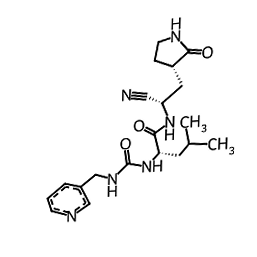 CC(C)C[C@H](NC(=O)NCc1cccnc1)C(=O)N[C@H](C#N)C[C@@H]1CCNC1=O